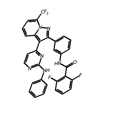 O=C(Nc1cccc(-c2nn3c(C(F)(F)F)cccc3c2-c2ccnc(Nc3ccccc3)n2)c1)c1c(F)cccc1F